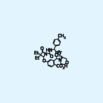 CCCC(NC(=O)N1C(=O)C(CC)(CC)C1Oc1ccc(C(=O)O)c(C(C)N2CCOCC2)c1)c1ccc(C)cc1